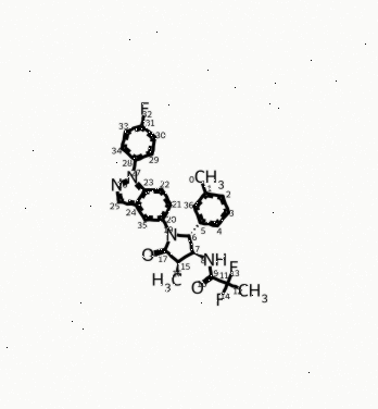 Cc1cccc([C@@H]2[C@@H](NC(=O)C(C)(F)F)[C@@H](C)C(=O)N2c2ccc3c(cnn3-c3ccc(F)cc3)c2)c1